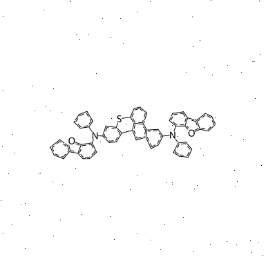 c1ccc(N(c2ccc3c(c2)Sc2cccc4c2c-3cc2ccc(N(c3ccccc3)c3cccc5c3oc3ccccc35)cc24)c2cccc3c2oc2ccccc23)cc1